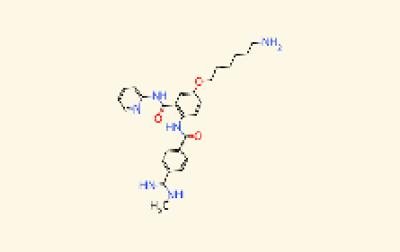 CNC(=N)c1ccc(C(=O)Nc2ccc(OCCCCCCN)cc2C(=O)Nc2ccccn2)cc1